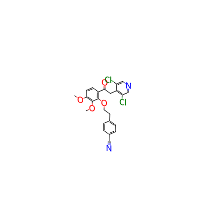 COc1ccc(C(=O)Cc2c(Cl)cncc2Cl)c(OCCc2ccc(C#N)cc2)c1OC